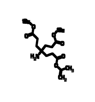 C=C(C)OC(=O)CCC(N)(CCC(=O)OC(C)(C)C)CCC(=O)OC(C)(C)C